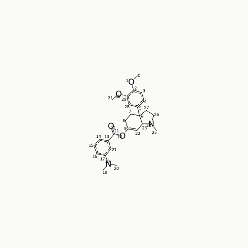 COc1ccc(C23CCC(OC(=O)c4cccc(N(C)C)c4)=CC2N(C)CC3)cc1OC